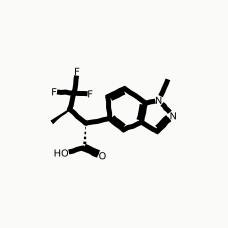 C[C@H]([C@@H](C(=O)O)c1ccc2c(cnn2C)c1)C(F)(F)F